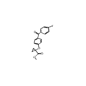 COC(=O)C1(Oc2ccc(C(=O)c3ccc(F)cc3)cc2)CC1